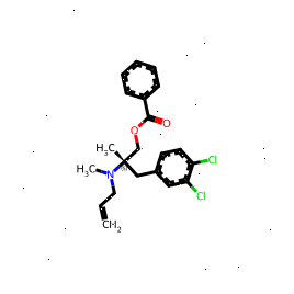 C=CCN(C)[C@](C)([CH]OC(=O)c1ccccc1)Cc1ccc(Cl)c(Cl)c1